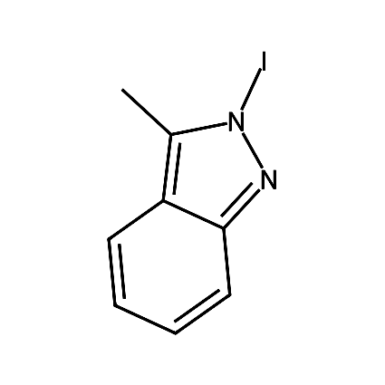 Cc1c2ccccc2nn1I